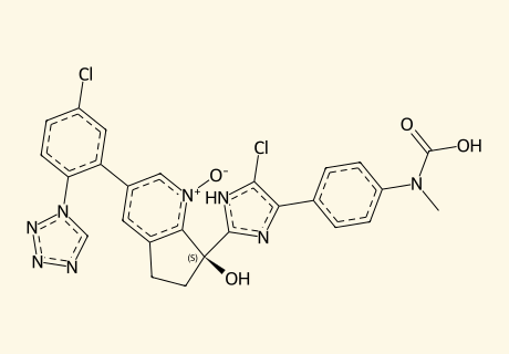 CN(C(=O)O)c1ccc(-c2nc([C@]3(O)CCc4cc(-c5cc(Cl)ccc5-n5cnnn5)c[n+]([O-])c43)[nH]c2Cl)cc1